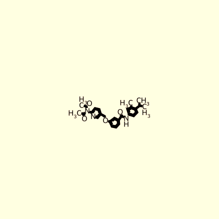 CC(=O)N(C(C)=O)c1ccc(COc2cccc(C(=O)Nc3ccc(C(C)C)c(C)c3)c2)cn1